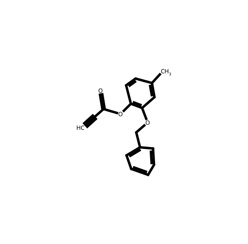 C#CC(=O)Oc1ccc(C)cc1OCc1ccccc1